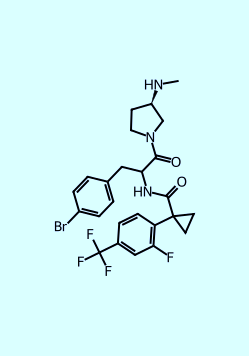 CN[C@@H]1CCN(C(=O)C(Cc2ccc(Br)cc2)NC(=O)C2(c3ccc(C(F)(F)F)cc3F)CC2)C1